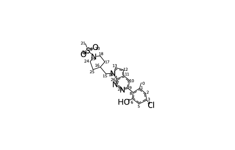 Cc1cc(Cl)cc(O)c1-c1cc2ccn(CC3CCN(S(C)(=O)=O)CC3)c2nn1